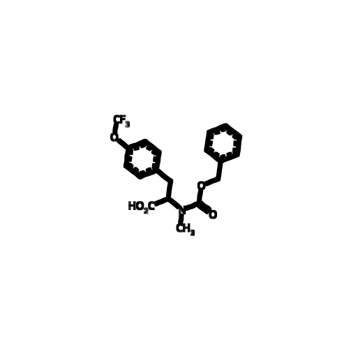 CN(C(=O)OCc1ccccc1)C(Cc1ccc(OC(F)(F)F)cc1)C(=O)O